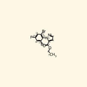 CCOC(=O)c1ccnn1-c1c(Br)cc(F)cc1Br